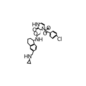 O=C(C[C@@H]1C(=O)NC=CN1S(=O)(=O)c1ccc(Cl)cc1)N[C@@H]1CCCc2cc(CNC3CC3)ccc21